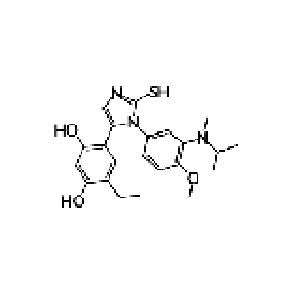 CCc1cc(-c2cnc(S)n2-c2ccc(OC)c(N(C)C(C)C)c2)c(O)cc1O